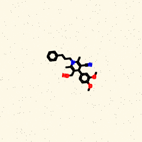 COc1ccc(C2C(C#N)=C(C)N(CCCc3ccccc3)C(C)=C2CO)cc1OC